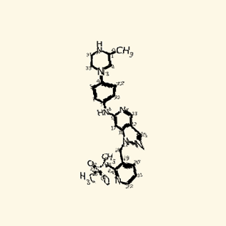 CC1CN(c2ccc(Nc3cc4c(cn3)cnn4Cc3cccnc3N(C)S(C)(=O)=O)cc2)CCN1